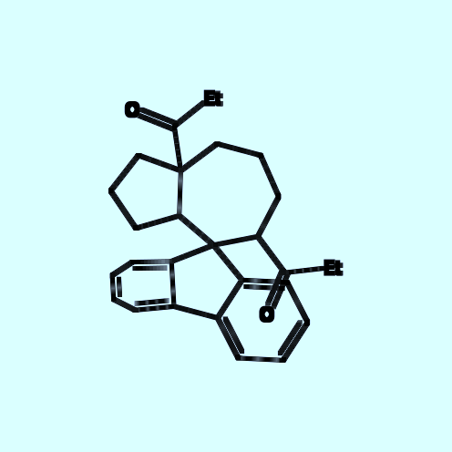 CCC(=O)C1CCCC2(C(=O)CC)CCCC2C12c1ccccc1-c1ccccc12